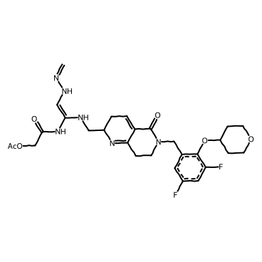 C=NN/C=C(\NCC1CC=C2C(=O)N(Cc3cc(F)cc(F)c3OC3CCOCC3)CCC2=N1)NC(=O)COC(C)=O